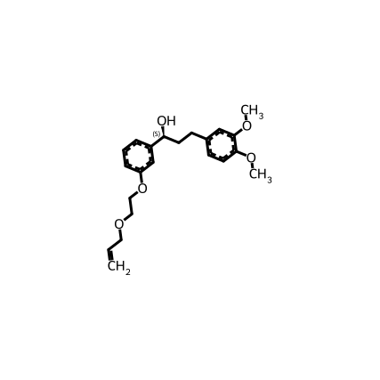 C=CCOCCOc1cccc([C@@H](O)CCc2ccc(OC)c(OC)c2)c1